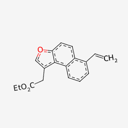 C=Cc1cccc2c1ccc1occ(CC(=O)OCC)c12